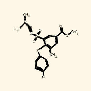 COC(=O)c1cc(N)c(Oc2ccc(Cl)cc2)c(S(=O)(=O)N=CN(C)C)c1